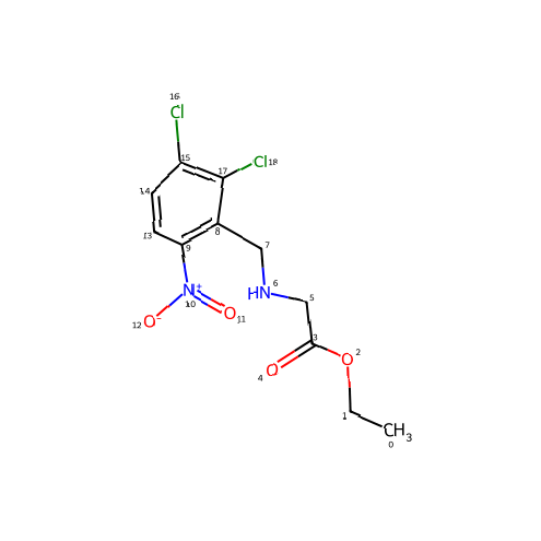 CCOC(=O)CNCc1c([N+](=O)[O-])ccc(Cl)c1Cl